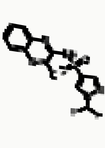 O=S(=O)(Nc1nc2ccccc2nc1Cl)c1cnn(C(F)F)c1